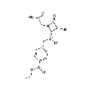 CCOC(=O)c1ccc(C[S+]([O-])C2C(Br)C(=O)N2CC(=O)O)cc1